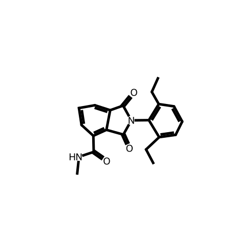 CCc1cccc(CC)c1N1C(=O)c2cccc(C(=O)NC)c2C1=O